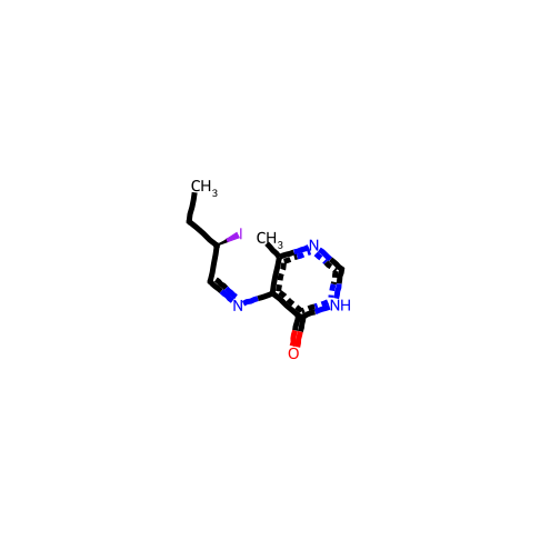 CC[C@@H](I)/C=N\c1c(C)nc[nH]c1=O